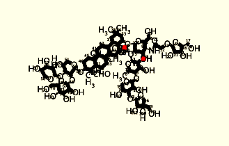 CC1O[C@@H](OC2C(O)[C@@H](NC(=O)CO[C@@H]3O[C@@H](CO)C(O)C3O)C(CO)O[C@H]2OC(=O)[C@]23CCC(C)(C)CC2C2=CCC4C5(C)CC[C@H](O[C@@H]6OC[C@@H](O)[C@H](O[C@@H]7OC[C@@H](O)[C@H](O)C7O)C6O[C@@H]6OC(CO)[C@H](O)[C@H](O)C6O)[C@](C)(C=O)[C@@H]5CC[C@]4(C)[C@]2(C)CC3O)C(O)C(O)[C@H]1O[C@@H]1OC[C@@H](O)C(O[C@@H]2OCC(O)(CO)[C@@H]2O)C1O